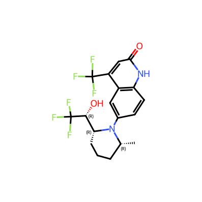 C[C@@H]1CCC[C@H]([C@@H](O)C(F)(F)F)N1c1ccc2[nH]c(=O)cc(C(F)(F)F)c2c1